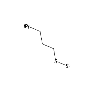 CC(C)CCCS[S]